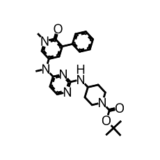 CN(c1cc(-c2ccccc2)c(=O)n(C)c1)c1ccnc(NC2CCN(C(=O)OC(C)(C)C)CC2)n1